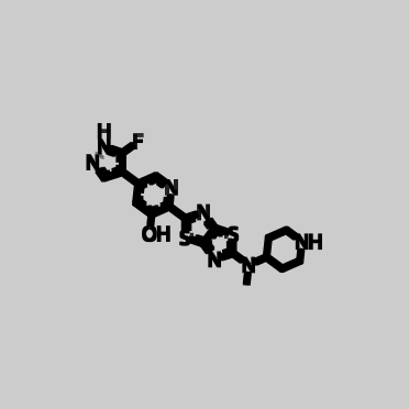 CN(c1nc2sc(-c3ncc(-c4cn[nH]c4F)cc3O)nc2s1)C1CCNCC1